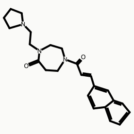 O=C(/C=C/c1ccc2ccccc2c1)N1CCC(=O)N(CCN2CCCC2)CC1